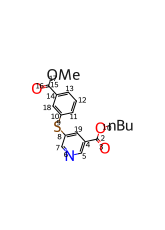 CCCCOC(=O)c1cncc(Sc2cccc(C(=O)OC)c2)c1